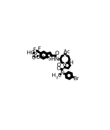 CC(=O)N1CC[C@H]2CC[C@@H](C(=O)N(C)c3ccc(Br)cc3)N2C(=O)[C@@H](NC(=O)c2cc3cc(C(F)(F)P(=O)(O)O)ccc3s2)C1